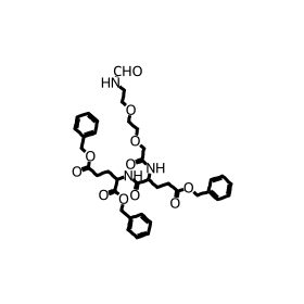 O=CNCCOCCOCC(=O)NC(CCC(=O)OCc1ccccc1)C(=O)NC(CCC(=O)OCc1ccccc1)C(=O)OCc1ccccc1